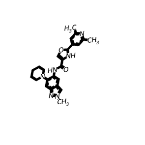 Cc1cc(C2NC(C(=O)Nc3cc4cn(C)nc4cc3N3CCCCC3)=CO2)cc(C)n1